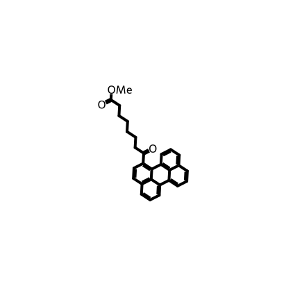 COC(=O)CCCCCCC(=O)c1ccc2cccc3c4cccc5cccc(c1c23)c54